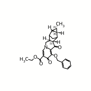 CCOC(=O)c1cn2c(c(OCc3ccccc3)c1=O)C(=O)[C@H]1C3CC([C@@H]4[C@H](C)[C@H]34)[C@@H]1C2